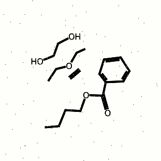 C=C.CCCCOC(=O)c1ccccc1.CCOCC.OCCO